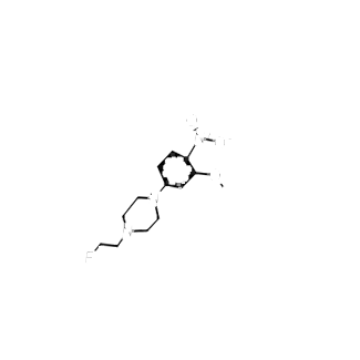 COc1cc(N2CCN(CCF)CC2)ccc1[N+](=O)[O-]